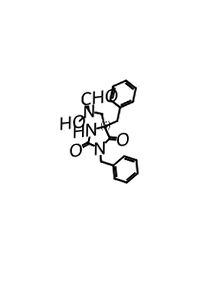 O=CN(O)C[C@]1(Cc2ccccc2)NC(=O)N(Cc2ccccc2)C1=O